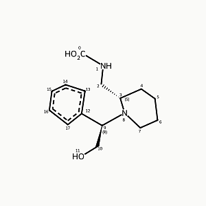 O=C(O)NC[C@@H]1CCCCN1[C@@H](CO)c1ccccc1